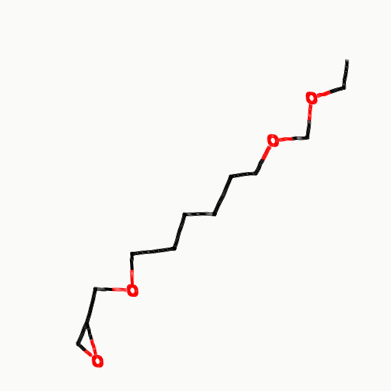 CCOCOCCCCCCOCC1CO1